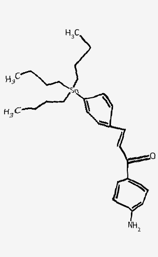 CCC[CH2][Sn]([CH2]CCC)([CH2]CCC)[c]1ccc(C=CC(=O)c2ccc(N)cc2)cc1